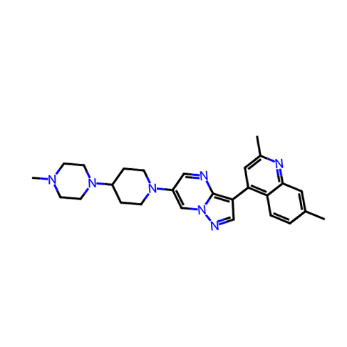 Cc1ccc2c(-c3cnn4cc(N5CCC(N6CCN(C)CC6)CC5)cnc34)cc(C)nc2c1